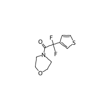 O=C(N1CCOCC1)C(F)(F)c1ccsc1